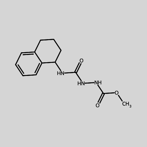 COC(=O)NNC(=O)NC1CCCc2ccccc21